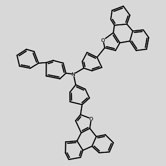 c1ccc(-c2ccc(N(c3ccc(-c4cc5c6ccccc6c6ccccc6c5o4)cc3)c3ccc(-c4cc5c6ccccc6c6ccccc6c5o4)cc3)cc2)cc1